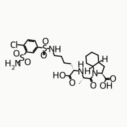 C[C@H](N[C@@H](CCCCNS(=O)(=O)c1ccc(Cl)c(S(N)(=O)=O)c1)C(=O)O)C(=O)N1[C@@H]2CCCC[C@@H]2C[C@H]1C(=O)O